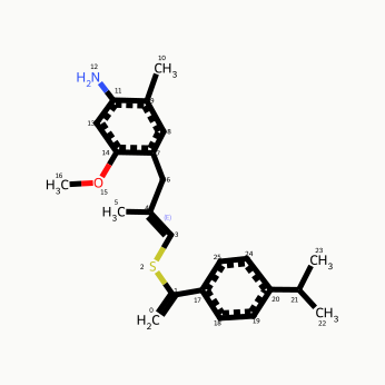 C=C(S/C=C(\C)Cc1cc(C)c(N)cc1OC)c1ccc(C(C)C)cc1